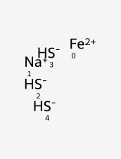 [Fe+2].[Na+].[SH-].[SH-].[SH-]